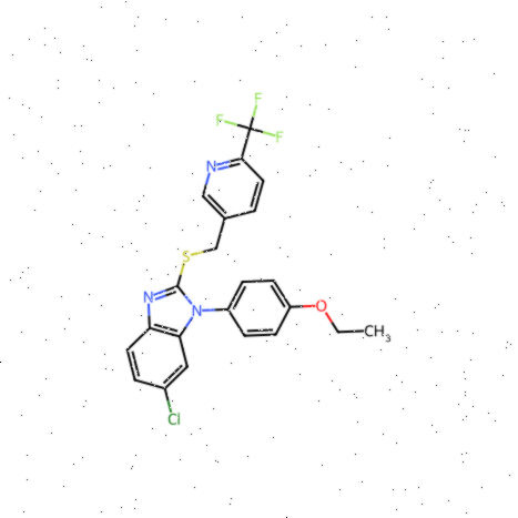 CCOc1ccc(-n2c(SCc3ccc(C(F)(F)F)nc3)nc3ccc(Cl)cc32)cc1